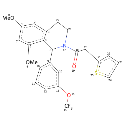 COc1cc2c(c(OC)c1)C(c1cccc(OC(F)(F)F)c1)N(C(=O)Cc1cccs1)CC2